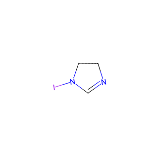 IN1C=NCC1